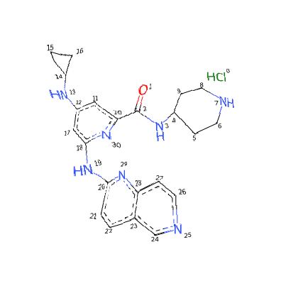 Cl.O=C(NC1CCNCC1)c1cc(NC2CC2)cc(Nc2ccc3cnccc3n2)n1